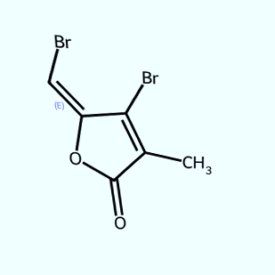 CC1=C(Br)/C(=C\Br)OC1=O